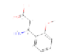 COc1ccccc1[C@@H](N)CC(=O)O